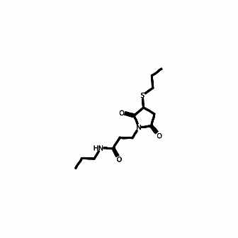 CCCNC(=O)CCN1C(=O)CC(SCCC)C1=O